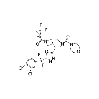 O=C([C@H]1CC1(F)F)N1CC2(C1)CN(C(=O)N1CCOCC1)CC2c1nnc(C(F)(F)c2ccc(Cl)c(Cl)c2)o1